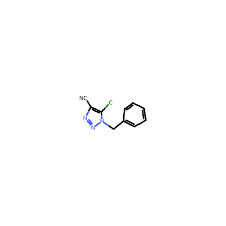 N#Cc1nnn(Cc2ccccc2)c1Cl